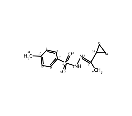 C/C(=N\NS(=O)(=O)c1ccc(C)cc1)C1CC1